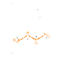 PPPP